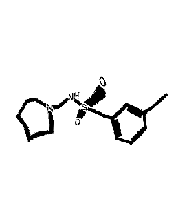 [CH2]c1cccc(S(=O)(=O)NN2CCCC2)c1